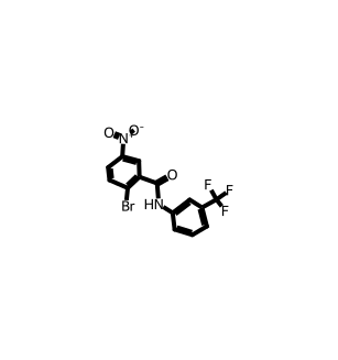 O=C(Nc1cccc(C(F)(F)F)c1)c1cc([N+](=O)[O-])ccc1Br